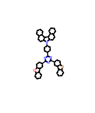 c1ccc2c(c1)ccc1c2c2c3ccccc3ccc2n1-c1ccc(-c2nc(-c3ccc4oc5ccccc5c4c3)nc(-c3ccc4sc5ccccc5c4c3)n2)cc1